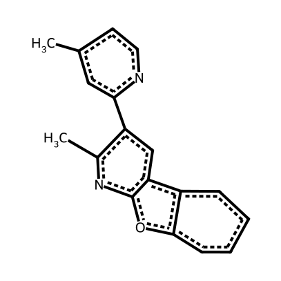 Cc1ccnc(-c2cc3c(nc2C)oc2ccccc23)c1